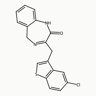 O=C1Nc2ccccc2CN=C1Cc1csc2ccc(Cl)cc12